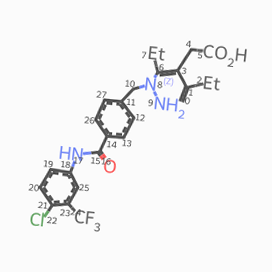 C=C(CC)/C(CC(=O)O)=C(/CC)N(N)Cc1ccc(C(=O)Nc2ccc(Cl)c(C(F)(F)F)c2)cc1